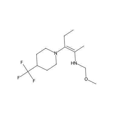 CC/C(=C(\C)NCOC)N1CCC(C(F)(F)F)CC1